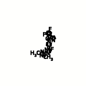 Cc1nc(C)n(-c2ncc(F)c(N3CCN(C(=O)N4N=CCC4c4cc(F)cc(F)c4)CC3)n2)n1